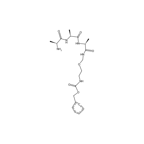 C[C@H](N)C(=O)N[C@@H](C)C(=O)N[C@@H](C)C(=O)NCOCCNC(=O)OCc1ccccc1